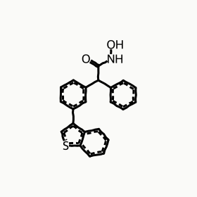 O=C(NO)C(c1ccccc1)c1cccc(-c2csc3ccccc23)c1